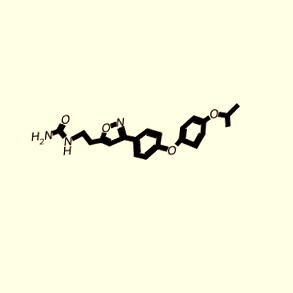 CC(C)Oc1ccc(Oc2ccc(-c3cc(CCNC(N)=O)on3)cc2)cc1